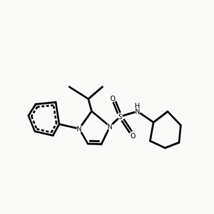 CC(C)C1N(c2ccccc2)C=CN1S(=O)(=O)NC1CCCCC1